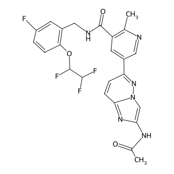 CC(=O)Nc1cn2nc(-c3cnc(C)c(C(=O)NCc4cc(F)ccc4OC(F)C(F)F)c3)ccc2n1